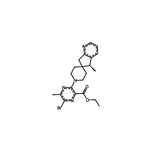 CCOC(=O)c1nc(Br)c(C)nc1N1CCC2(CC1)Cc1ncccc1[C@H]2C